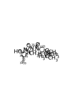 Cn1c(C(=O)N2CCN([C@H]3CC[C@H](O[Si](C)(C)C(C)(C)C)CC3)C(=O)C2)nc2c(O)cc(C3CC3)cc21